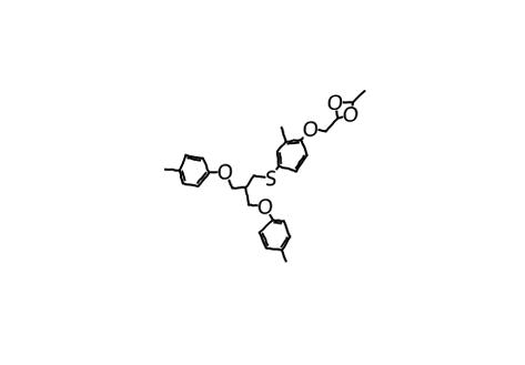 Cc1ccc(OCC(COc2ccc(C)cc2)CSc2ccc(OCC3OC(C)O3)c(C)c2)cc1